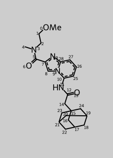 COCCN(C)C(=O)c1cn2c(NC(=O)CC34CC5CC(CC(C5)C3)C4)cccc2n1